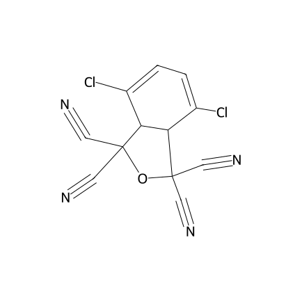 N#CC1(C#N)OC(C#N)(C#N)C2C(Cl)=CC=C(Cl)C21